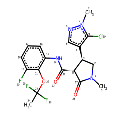 CN1C[C@H](c2cnn(C)c2Cl)[C@@H](C(=O)Nc2cccc(F)c2OC(C)(F)F)C1=O